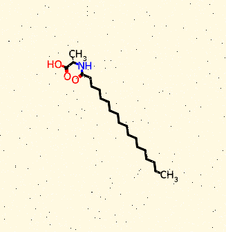 CCCCCCCCCCCCCCCCCC(=O)N[C@@H](C)C(=O)O